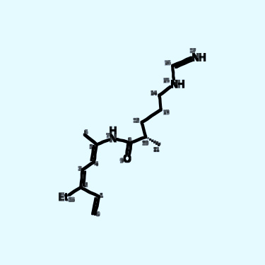 C=C/C(=C\C=C(/C)NC(=O)[C@@H](C)CCCNC=N)CC